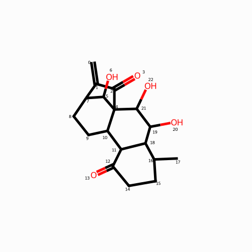 C=C1C(=O)C23C(O)C1CCC2C1C(=O)CCC(C)C1C(O)C3O